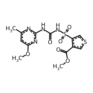 COC(=O)c1cscc1S(=O)(=O)NC(=O)Nc1nc(C)cc(OC)n1